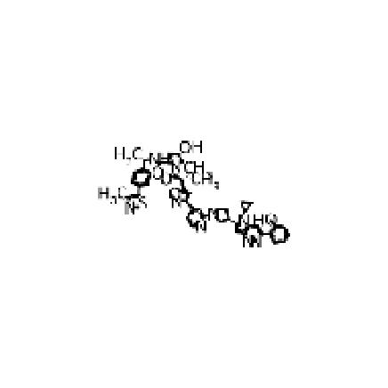 Cc1ncsc1-c1ccc([C@H](C)NC(=O)C2CC(O)CN2C(=O)[C@@H](c2cc(-c3ccnc(N4CC[C@@H](c5cc6nnc(-c7ccccc7O)cc6n5C5CC5)C4)c3)no2)C(C)C)cc1